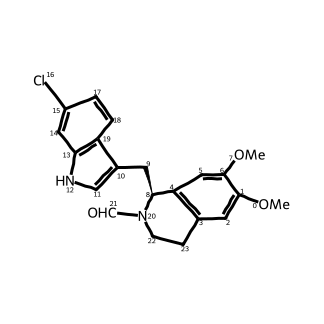 COc1cc2c(cc1OC)[C@H](Cc1c[nH]c3cc(Cl)ccc13)N(C=O)CC2